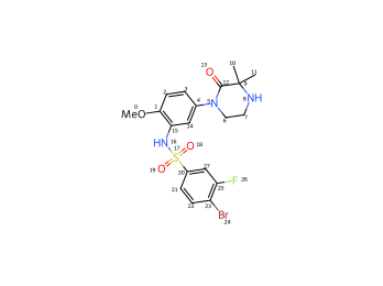 COc1ccc(N2CCNC(C)(C)C2=O)cc1NS(=O)(=O)c1ccc(Br)c(F)c1